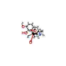 COc1ccc2c(c1O)[C@]13CCN(C)[C@H](C2)[C@]1(O)CCC(=O)[C@@H]3C